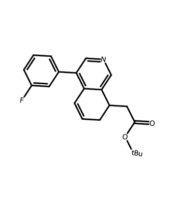 CC(C)(C)OC(=O)CC1CC=Cc2c(-c3cccc(F)c3)cncc21